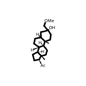 COC[C@@]1(O)CC[C@@]2(C)[C@H](CC[C@@H]3[C@@H]2CC[C@]2(C)[C@@H](C(C)=O)CC[C@@H]32)C1